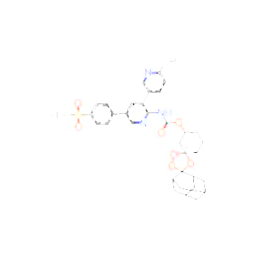 Cc1ccc(-c2cc(-c3ccc(S(C)(=O)=O)cc3)cnc2NC(=O)OC2CCC[C@]3(C2)OOC2(O3)C3CC4CC(C3)CC2C4)cn1